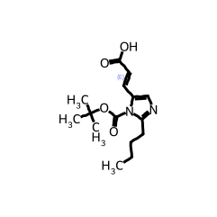 CCCCc1ncc(/C=C/C(=O)O)n1C(=O)OC(C)(C)C